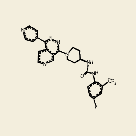 O=C(Nc1ccc(F)cc1C(F)(F)F)NC1CCN(c2nnc(-c3ccncc3)c3ccncc23)CC1